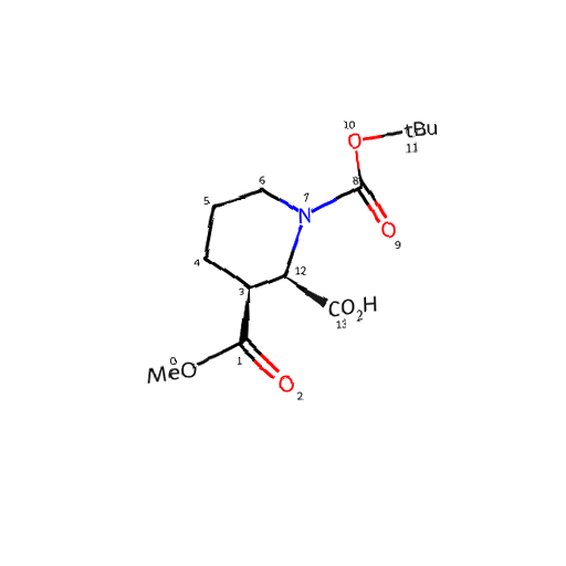 COC(=O)[C@H]1CCCN(C(=O)OC(C)(C)C)[C@H]1C(=O)O